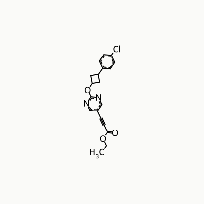 CCOC(=O)C#Cc1cnc(OC2CC(c3ccc(Cl)cc3)C2)nc1